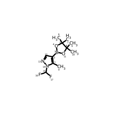 Cc1c(B2OC(C)(C)C(C)(C)O2)cnn1C(F)F